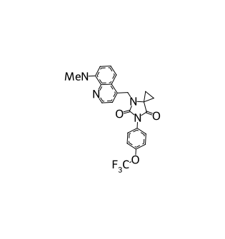 CNc1cccc2c(CN3C(=O)N(c4ccc(OC(F)(F)F)cc4)C(=O)C34CC4)ccnc12